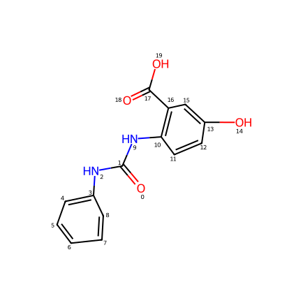 O=C(Nc1ccccc1)Nc1ccc(O)cc1C(=O)O